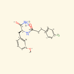 COc1cccc(C[C@H](NC(=O)[CH]Cc2ccc(Cl)cc2)C(N)=O)c1